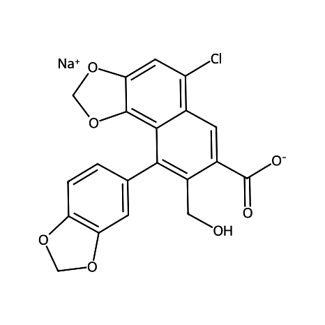 O=C([O-])c1cc2c(Cl)cc3c(c2c(-c2ccc4c(c2)OCO4)c1CO)OCO3.[Na+]